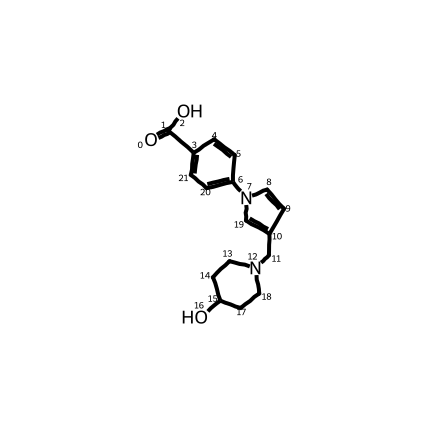 O=C(O)c1ccc(-n2ccc(CN3CCC(O)CC3)c2)cc1